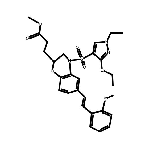 CCOc1nn(CC)cc1S(=O)(=O)N1CC(CCC(=O)OC)Oc2ccc(C=Cc3ccccc3SC)cc21